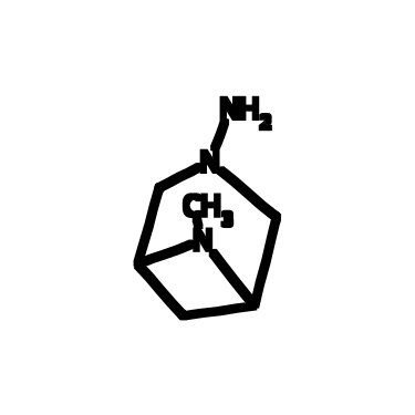 CN1C2CC1CN(N)C2